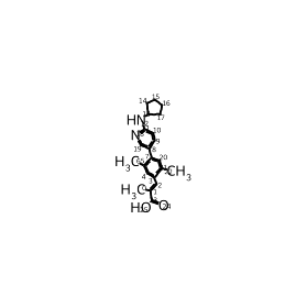 C/C(=C\c1cc(C)c(-c2ccc(NC3CCCC3)nc2)cc1C)C(=O)O